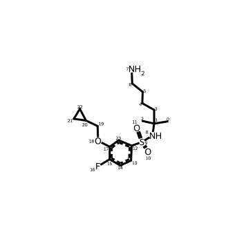 CC(C)(CCCCN)NS(=O)(=O)c1ccc(F)c(OCC2CC2)c1